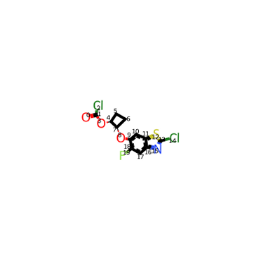 O=C(Cl)O[C@@H]1CC[C@@H]1Oc1cc2sc(Cl)nc2cc1F